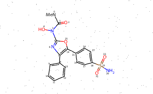 CNC(=O)N(O)c1nc(-c2ccccc2)c(-c2ccc(S(N)(=O)=O)cc2)o1